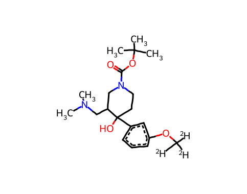 [2H]C([2H])([2H])Oc1cccc(C2(O)CCN(C(=O)OC(C)(C)C)CC2CN(C)C)c1